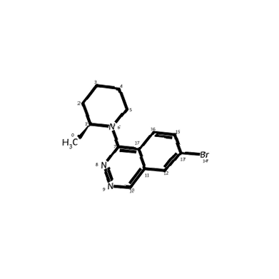 C[C@H]1CCCCN1c1nncc2cc(Br)ccc12